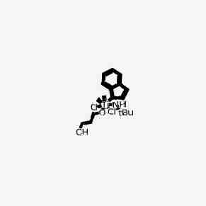 [CH2]=[Ti]([CH3])([Cl])([Cl])([NH]C(C)(C)C)([O]CCCO)[CH]1C=Cc2ccccc21